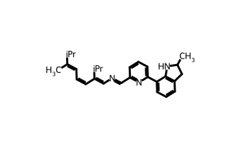 C\C(=C/C=C\C(=C\N=C\c1cccc(-c2cccc3c2NC(C)C3)n1)C(C)C)C(C)C